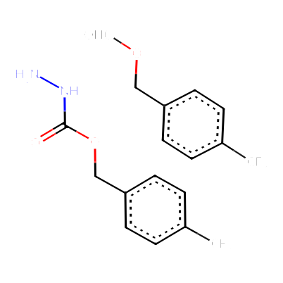 NNC(=O)OCc1ccc(C(F)(F)F)cc1.O=COCc1ccc(C(F)(F)F)cc1